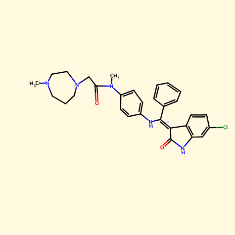 CN1CCCN(CC(=O)N(C)c2ccc(N/C(=C3\C(=O)Nc4cc(Cl)ccc43)c3ccccc3)cc2)CC1